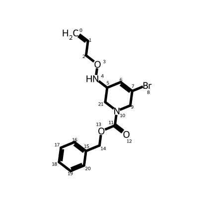 C=CCONC1C=C(Br)CN(C(=O)OCc2ccccc2)C1